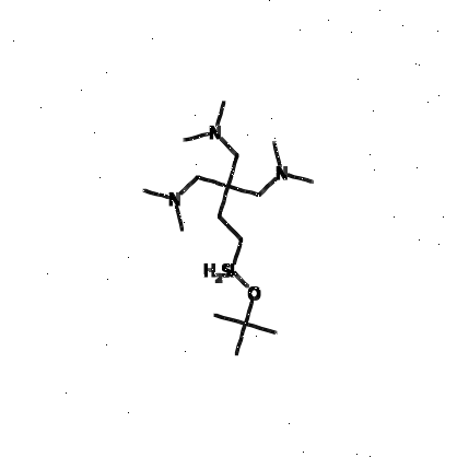 CN(C)CC(CC[SiH2]OC(C)(C)C)(CN(C)C)CN(C)C